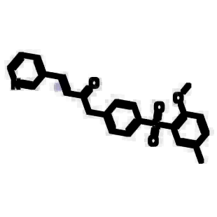 COc1ccc(C)cc1S(=O)(=O)c1ccc(CC(=O)/C=C/c2cccnc2)cc1